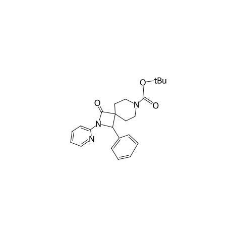 CC(C)(C)OC(=O)N1CCC2(CC1)C(=O)N(c1ccccn1)C2c1ccccc1